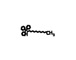 CCCCCCCCCCCCC[PH](c1ccccc1)(c1ccccc1)c1ccccc1